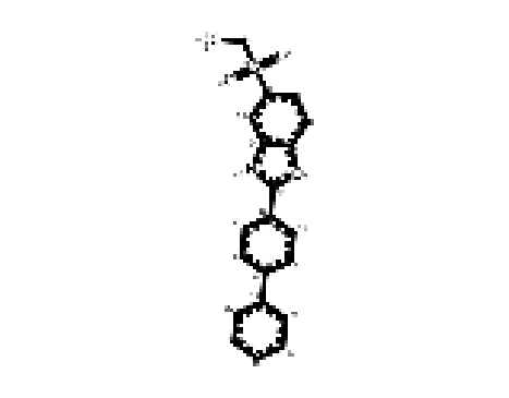 CCS(=O)(=O)c1ccc2oc(-c3ccc(-c4ccccc4)cc3)nc2c1